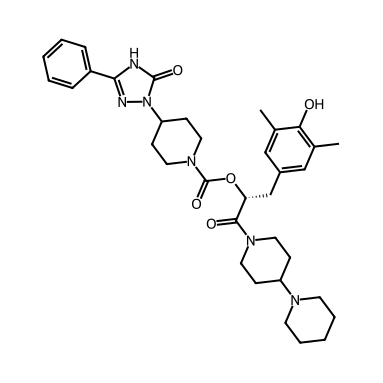 Cc1cc(C[C@@H](OC(=O)N2CCC(n3nc(-c4ccccc4)[nH]c3=O)CC2)C(=O)N2CCC(N3CCCCC3)CC2)cc(C)c1O